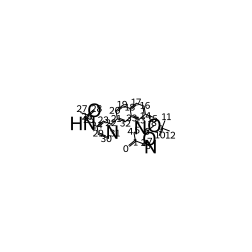 C=C(C#N)CN(C(=O)OC(C)(C)C)c1c(C)ccc2ccc(-c3cc(NC(C)=O)ccn3)cc12